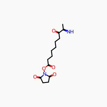 CC(=N)C(=O)CCCCCCC(=O)ON1C(=O)CCC1=O